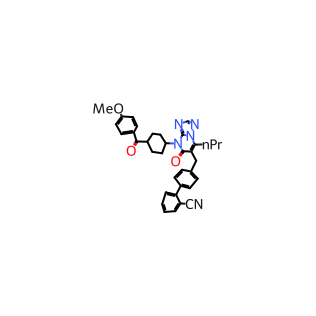 CCCc1c(Cc2ccc(-c3ccccc3C#N)cc2)c(=O)n(C2CCC(C(=O)c3ccc(OC)cc3)CC2)c2ncnn12